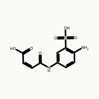 Nc1ccc(NC(=O)/C=C\C(=O)O)cc1S(=O)(=O)O